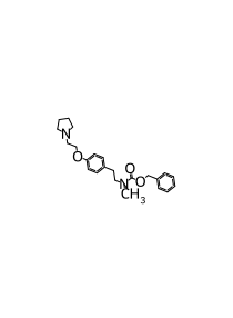 CN(CCc1ccc(OCCN2CCCC2)cc1)C(=O)OCc1ccccc1